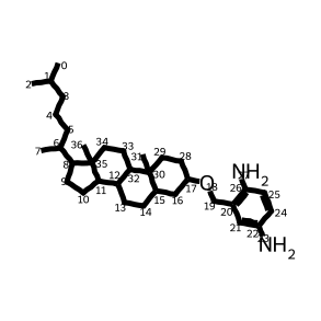 CC(C)CCCC(C)C1CCC2C3CCC4CC(OCc5cc(N)ccc5N)CCC4(C)C3CCC12C